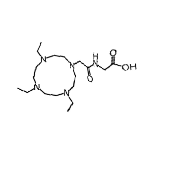 CCN1CCN(CC)CCN(CC(=O)NCC(=O)O)CCN(CC)CC1